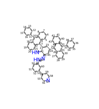 N=C1C(c2c3ccccc3c(-c3ccccc3)c3ccccc23)=CC(c2c3ccccc3c(-c3ccccc3)c3ccccc23)=C/C1=N/Nc1cccc(-c2ccncc2)c1